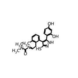 Cc1cccc(-c2c(S)n[nH]c2-c2ccc(O)cc2O)c1C/C=N/C(=O)N(C)C